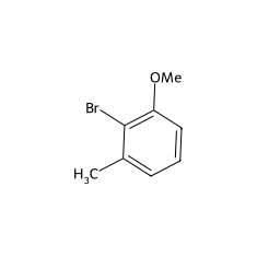 COc1cccc(C)c1Br